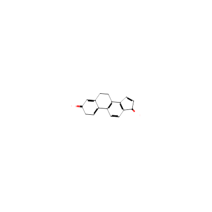 O=C1C=C2CCc3c(ccc4c3C=CC4=O)C2=CC1